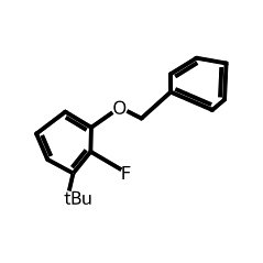 CC(C)(C)c1cccc(OCc2ccccc2)c1F